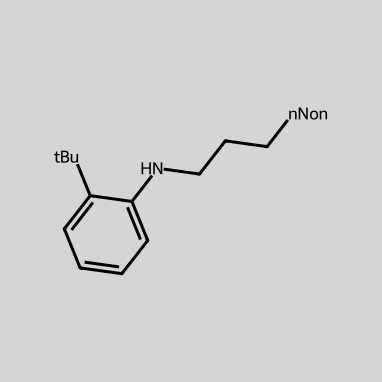 CCCCCCCCCCCCNc1ccccc1C(C)(C)C